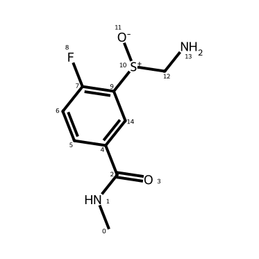 CNC(=O)c1ccc(F)c([S+]([O-])CN)c1